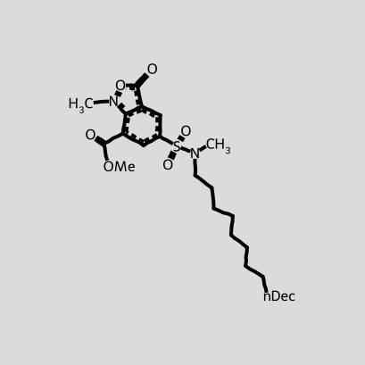 CCCCCCCCCCCCCCCCCCN(C)S(=O)(=O)c1cc(C(=O)OC)c2c(c1)c(=O)on2C